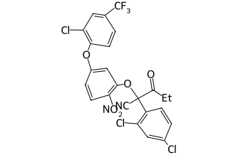 CCC(=O)C(C#N)(Oc1cc(Oc2ccc(C(F)(F)F)cc2Cl)ccc1[N+](=O)[O-])c1ccc(Cl)cc1Cl